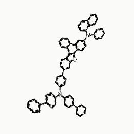 c1ccc(-c2ccc(N(c3ccc(-c4ccccc4)cc3)c3ccc(-c4ccc5c(c4)oc4c6ccc(N(c7ccccc7)c7cccc8ccccc78)cc6c6ccccc6c54)cc3)cc2)cc1